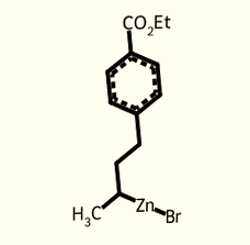 CCOC(=O)c1ccc(CC[CH](C)[Zn][Br])cc1